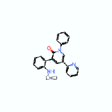 O=CNc1ccccc1-c1cc(-c2ccccn2)cn(-c2ccccc2)c1=O